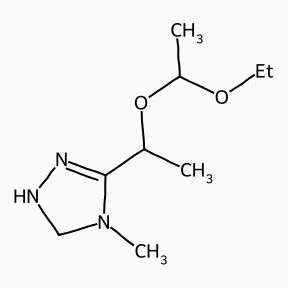 CCOC(C)OC(C)C1=NNCN1C